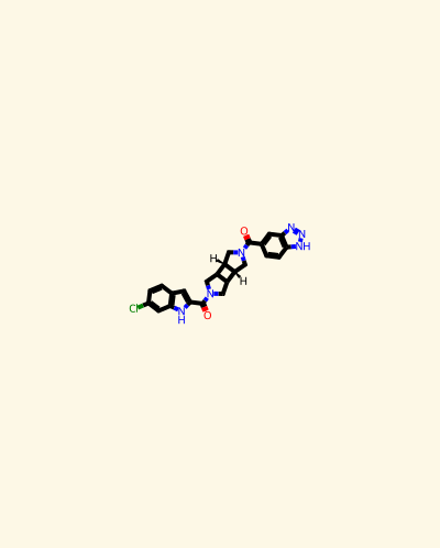 O=C(c1ccc2[nH]nnc2c1)N1C[C@@H]2C3CN(C(=O)c4cc5ccc(Cl)cc5[nH]4)CC3[C@@H]2C1